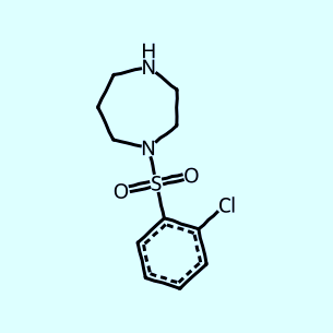 O=S(=O)(c1ccccc1Cl)N1CCCNCC1